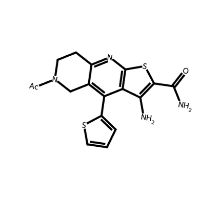 CC(=O)N1CCc2nc3sc(C(N)=O)c(N)c3c(-c3cccs3)c2C1